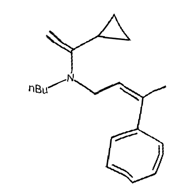 C=C(C1CC1)N(C/C=C(/C)c1ccccc1)CCCC